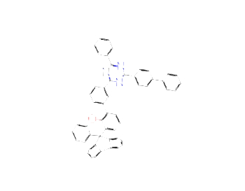 c1ccc(-c2ccc(-c3nc(-c4ccccc4)nc(-c4cccc(-c5cccc6c5Oc5ccccc5C65c6ccccc6-c6ccccc65)c4)n3)cc2)cc1